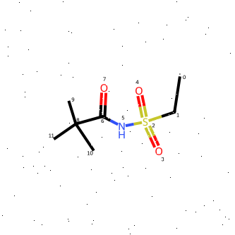 [CH2]CS(=O)(=O)NC(=O)C(C)(C)C